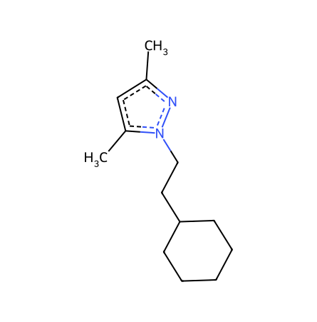 Cc1cc(C)n(CCC2CCCCC2)n1